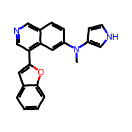 CN(c1cc[nH]c1)c1ccc2cncc(-c3cc4ccccc4o3)c2c1